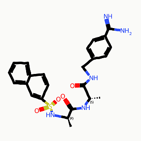 C[C@H](NC(=O)[C@@H](C)NS(=O)(=O)c1ccc2ccccc2c1)C(=O)NCc1ccc(C(=N)N)cc1